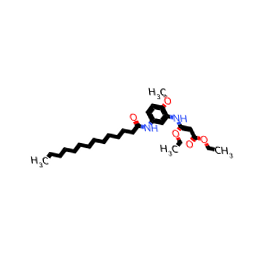 CCCCCCCCCCCCCC(=O)Nc1ccc(OC)c(NC(=CC(=O)OCC)OCC)c1